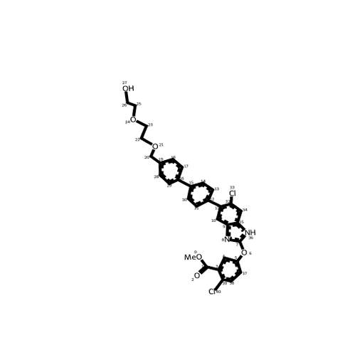 COC(=O)c1cc(Oc2nc3cc(-c4ccc(-c5ccc(COCCOCCO)cc5)cc4)c(Cl)cc3[nH]2)ccc1Cl